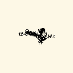 CSc1ccc(OC(F)F)c(-c2nn(Cc3cn(C4CCN(C(=O)OC(C)(C)C)CC4)nn3)cc2Nc2cnn3cccnc23)c1